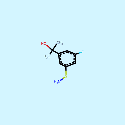 CC(C)(O)c1cc(F)cc(SN)c1